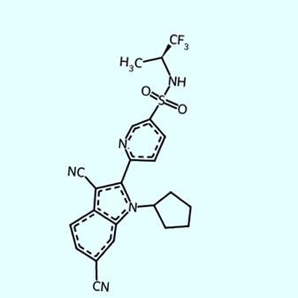 C[C@H](NS(=O)(=O)c1ccc(-c2c(C#N)c3ccc(C#N)cc3n2C2CCCC2)nc1)C(F)(F)F